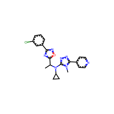 CC(c1nc(-c2cccc(Cl)c2)no1)N(c1nnc(-c2ccncc2)n1C)C1CC1